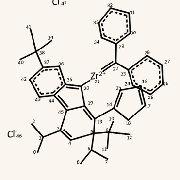 CC(C)C1=CC(C(C)C)(C(C)(C)C)C(C2=CC=CC2)=C2[C]([Zr+2]=[C](c3ccccc3)c3ccccc3)=c3cc(C(C)(C)C)ccc3=C12.[Cl-].[Cl-]